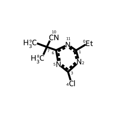 CCc1nc(Cl)nc(C(C)(C)C#N)n1